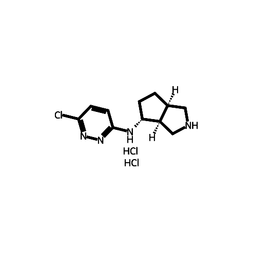 Cl.Cl.Clc1ccc(N[C@@H]2CC[C@H]3CNC[C@H]32)nn1